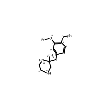 CCOc1ccc(CC2(C)CNCCN2)cc1OCC